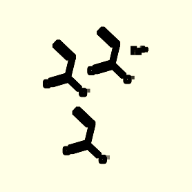 C=CC(=O)[O-].C=CC(=O)[O-].C=CC(=O)[O-].[Eu+3]